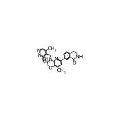 Cc1cnnc(C)c1CN1C(=O)COc2c(C)cc(-c3ccc4c(c3)C(=O)NCC4)nc21